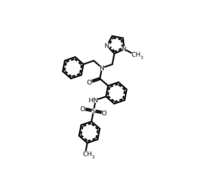 Cc1ccc(S(=O)(=O)Nc2ccccc2C(=O)N(Cc2ccccc2)Cc2nccn2C)cc1